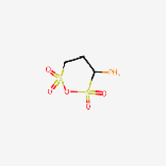 O=S1(=O)CCC(P)S(=O)(=O)O1